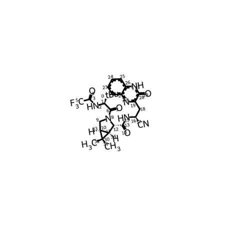 CC(C)(C)[C@H](NC(=O)C(F)(F)F)C(=O)N1C[C@H]2[C@@H]([C@H]1C(=O)N[C@H](C#N)Cc1nc3ccccc3[nH]c1=O)C2(C)C